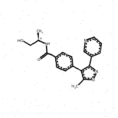 Cc1onc(-c2cccnc2)c1-c1ccc(C(=O)N[C@H](C)CO)cc1